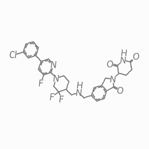 O=C1CCC(N2Cc3cc(CNCC4CCN(c5ncc(-c6cccc(Cl)c6)cc5F)CC4(F)F)ccc3C2=O)C(=O)N1